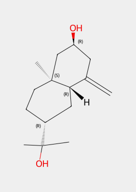 C=C1C[C@H](O)C[C@]2(C)CC[C@@H](C(C)(C)O)C[C@@H]12